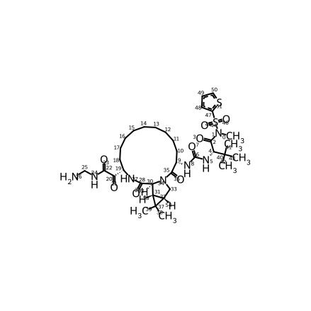 CN(C(=O)[C@@H](NC(=O)N[C@H]1CCCCCCCCC[C@@H](C(=O)C(=O)NCN)NC(=O)[C@@H]2[C@@H]3[C@H](CN2C1=O)C3(C)C)C(C)(C)C)S(=O)(=O)c1cccs1